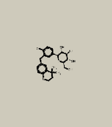 CC1(C)CCOc2ccc(Cc3cc([C@@H]4O[C@H](CO)[C@@H](O)[C@H](O)[C@H]4O)ccc3Cl)cc21